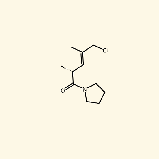 C/C(=C\[C@@H](C)C(=O)N1CCCC1)CCl